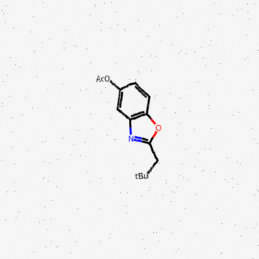 CC(=O)Oc1ccc2oc(CC(C)(C)C)nc2c1